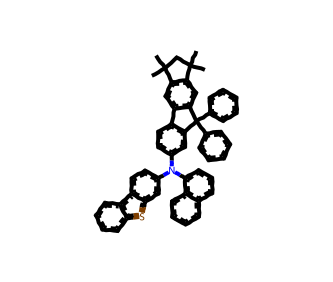 CC1(C)CC(C)(C)c2cc3c(cc21)-c1ccc(N(c2ccc4c(c2)sc2ccccc24)c2cccc4ccccc24)cc1C3(c1ccccc1)c1ccccc1